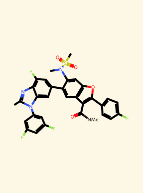 CNC(=O)c1c(-c2ccc(F)cc2)oc2cc(N(C)S(C)(=O)=O)c(-c3cc(F)c4nc(C)n(-c5cc(F)cc(F)c5)c4c3)cc12